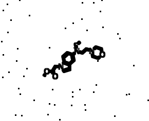 COC(=O)Cn1ccc2cc(N(CCN3CCOCC3)SC)ccc21